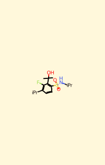 CC(C)NS(=O)(=O)c1ccc(C(C)C)c(F)c1C(C)(C)O